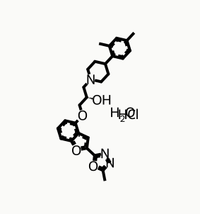 Cc1ccc(C2CCN(C[C@H](O)COc3cccc4oc(-c5nnc(C)o5)cc34)CC2)c(C)c1.Cl.O